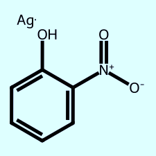 O=[N+]([O-])c1ccccc1O.[Ag]